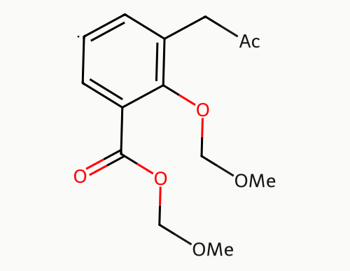 COCOC(=O)c1c[c]cc(CC(C)=O)c1OCOC